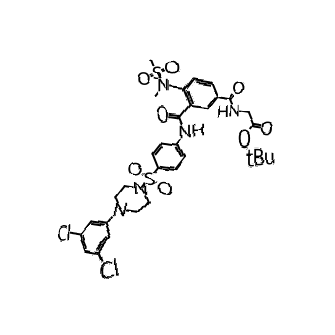 CN(c1ccc(C(=O)NCC(=O)OC(C)(C)C)cc1C(=O)Nc1ccc(S(=O)(=O)N2CCN(c3cc(Cl)cc(Cl)c3)CC2)cc1)S(C)(=O)=O